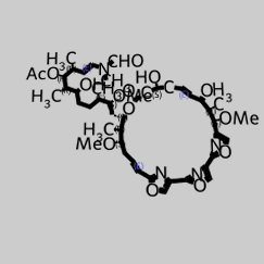 CO[C@H]1C/C=C/c2nc(co2)-c2nc(co2)-c2nc(co2)[C@@H](OC)[C@@H](C)C(=O)/C=C/C[C@H](O)CC(=O)O[C@@H](C[C@H](OC)[C@@H](C)CCC(O)[C@@H](C)[C@H](OC(C)=O)[C@H](C)/C=C/N(C)C=O)[C@@H]1C